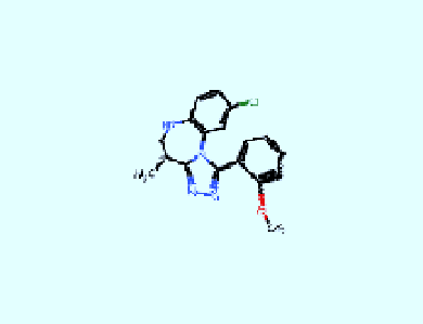 COc1ccccc1-c1nnc2n1-c1cc(Cl)ccc1NC[C@@H]2C